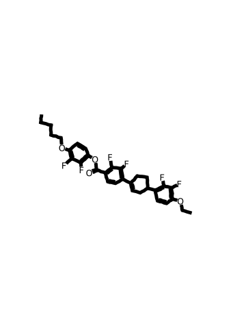 CCCCCOc1ccc(OC(=O)c2ccc(C3=CCC(c4ccc(OCC)c(F)c4F)CC3)c(F)c2F)c(F)c1F